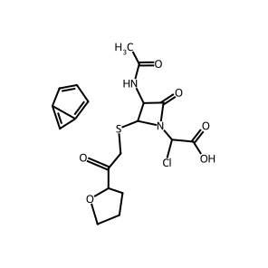 CC(=O)NC1C(=O)N(C(Cl)C(=O)O)C1SCC(=O)C1CCCO1.c1cc2cc-2c1